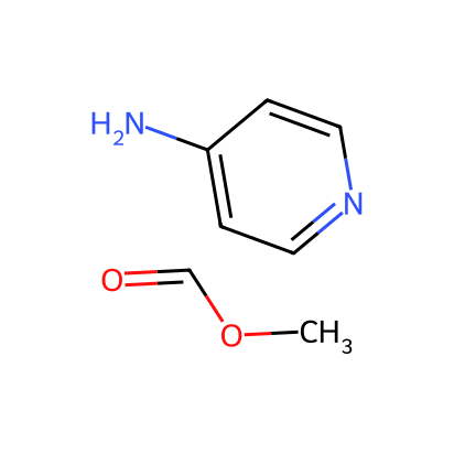 COC=O.Nc1ccncc1